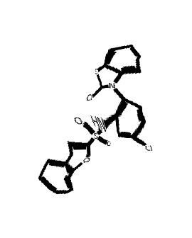 O=S(=O)(Nc1cc(Cl)ccc1N1c2ccccc2SC1Cl)c1cc2ccccc2o1